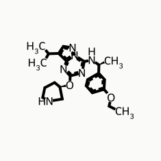 CCOc1cccc([C@H](C)Nc2nc(O[C@@H]3CCCNC3)nc3c(C(C)C)cnn23)c1